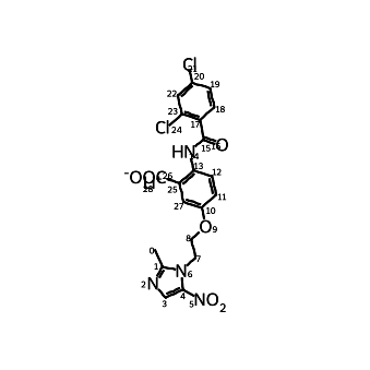 Cc1ncc([N+](=O)[O-])n1CCOc1ccc(NC(=O)c2ccc(Cl)cc2Cl)c(C(=O)[O-])c1.[Li+]